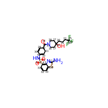 Nc1nc2c(S(=O)(=O)NC3=CCC(C(=O)N4CCC(O)(CCCC(F)(F)F)CC4)C=C3)cccc2s1